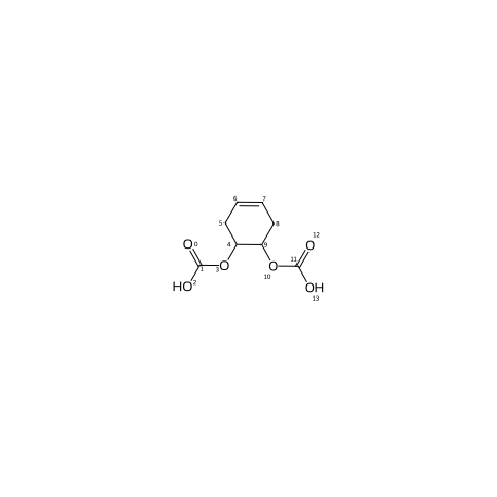 O=C(O)OC1CC=CCC1OC(=O)O